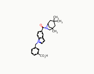 CC1(C)CC2CC(C)(CN2C(=O)c2ccc3c(ccn3Cc3cccc(C(=O)O)c3)c2)C1